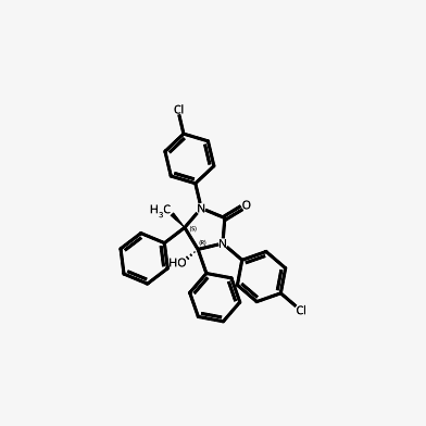 C[C@@]1(c2ccccc2)N(c2ccc(Cl)cc2)C(=O)N(c2ccc(Cl)cc2)[C@@]1(O)c1ccccc1